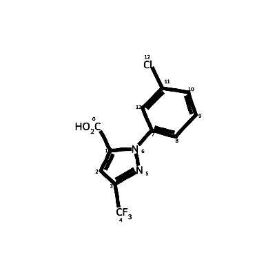 O=C(O)c1cc(C(F)(F)F)nn1-c1cccc(Cl)c1